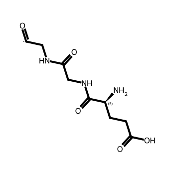 N[C@@H](CCC(=O)O)C(=O)NCC(=O)NC[C]=O